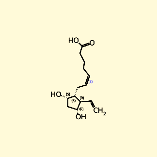 C=C[C@@H]1[C@@H](C/C=C\CCCC(=O)O)[C@@H](O)C[C@H]1O